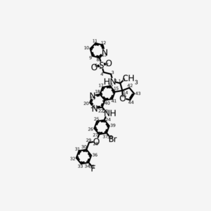 CC(NCCS(=O)(=O)c1ccccn1)C1(c2ccc3ncnc(Nc4ccc(OCc5cccc(F)c5)c(Br)c4)c3c2)CC=CO1